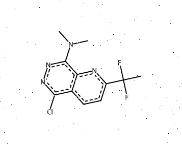 CN(C)c1nnc(Cl)c2ccc(C(C)(F)F)nc12